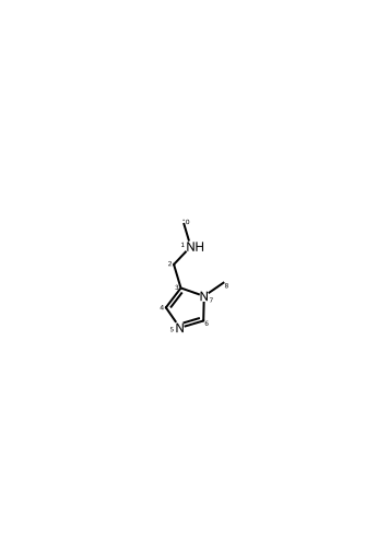 [CH2]NCc1cncn1C